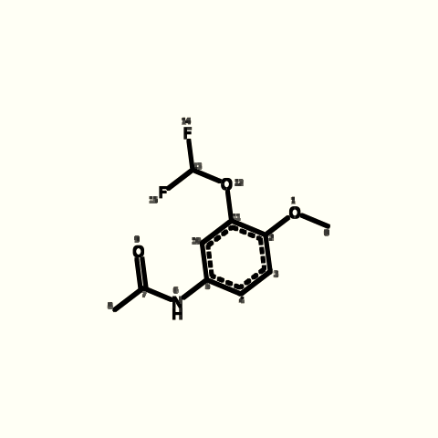 COc1ccc(NC(C)=O)cc1OC(F)F